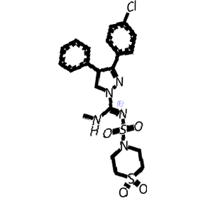 CN/C(=N\S(=O)(=O)N1CCS(=O)(=O)CC1)N1CC(c2ccccc2)C(c2ccc(Cl)cc2)=N1